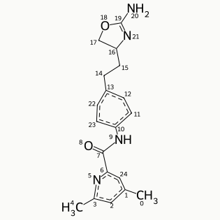 Cc1cc(C)nc(C(=O)Nc2ccc(CCC3COC(N)=N3)cc2)c1